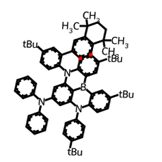 CC(C)(C)c1ccc(N2c3ccc(C(C)(C)C)cc3B3c4cc(C(C)(C)C)ccc4N(c4ccc(C(C)(C)C)cc4-c4ccc5c(c4)C(C)(C)CCC5(C)C)c4cc(N(c5ccccc5)c5ccccc5)cc2c43)cc1